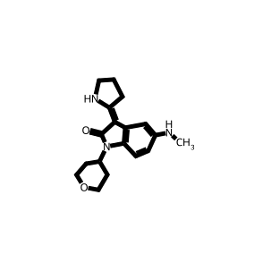 CNc1ccc2c(c1)/C(=C1\CCCN1)C(=O)N2C1CCOCC1